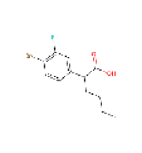 CCCCC(C(=O)O)c1ccc(Br)c(F)c1